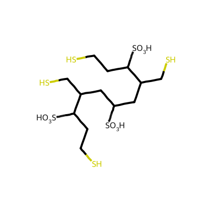 O=S(=O)(O)C(CC(CS)C(CCS)S(=O)(=O)O)CC(CS)C(CCS)S(=O)(=O)O